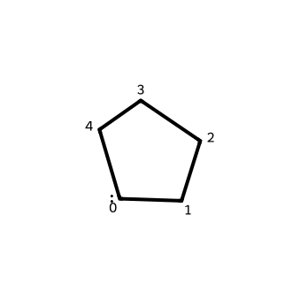 [C]1CCCC1